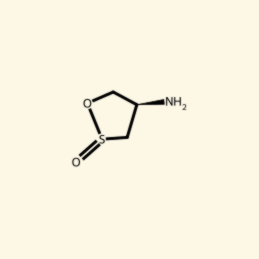 N[C@@H]1COS(=O)C1